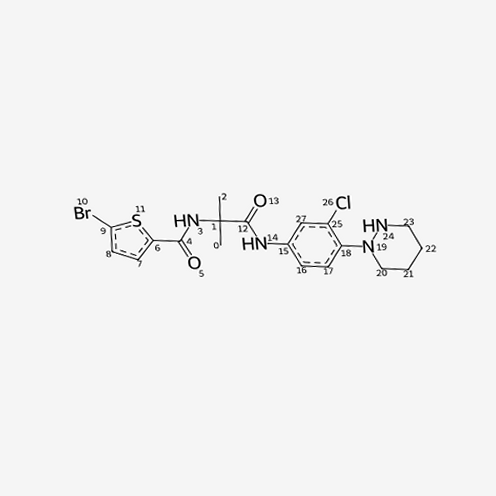 CC(C)(NC(=O)c1ccc(Br)s1)C(=O)Nc1ccc(N2CCCCN2)c(Cl)c1